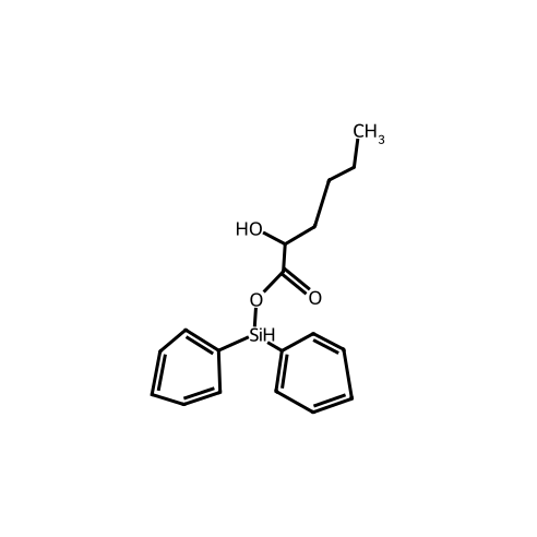 CCCCC(O)C(=O)O[SiH](c1ccccc1)c1ccccc1